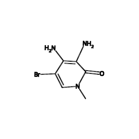 Cn1cc(Br)c(N)c(N)c1=O